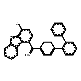 N=C(C1=CC=C(c2ccccc2-c2ccccc2)CC1)c1ccc(Cl)c2oc3ccccc3c12